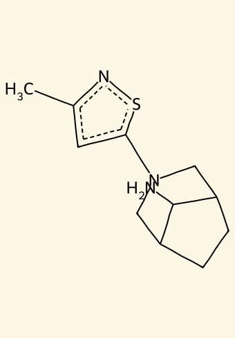 Cc1cc(N2CC3CCC(C2)C3N)sn1